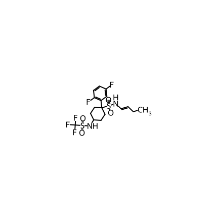 CCC=CNS(=O)(=O)C1(c2cc(F)ccc2F)CCC(NS(=O)(=O)C(F)(F)F)CC1